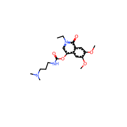 CCn1cc(OC(=O)NCCCN(C)C)c2cc(OC)c(OC)cc2c1=O